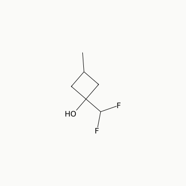 CC1CC(O)(C(F)F)C1